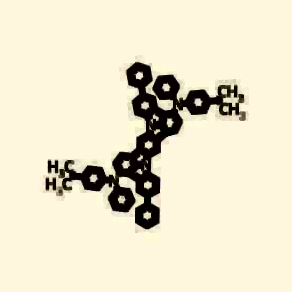 CC(C)c1ccc(N(c2ccccc2)c2ccc3c4cc5c(cc4n4c6ccc(-c7ccccc7)cc6c2c34)c2ccc(N(c3ccccc3)c3ccc(C(C)C)cc3)c3c4cc(-c6ccccc6)ccc4n5c23)cc1